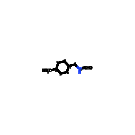 O=[C]NCC1CCC(C(=O)O)CC1